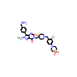 Cn1nc2c(=O)n(CC3(O)CCN(Cc4ccc(N5CCS(=O)(=O)CC5)cc4Cl)CC3)cnc2c1-c1ccc(CN)cc1